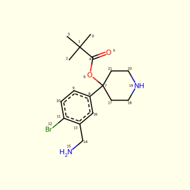 CC(C)(C)C(=O)OC1(c2ccc(Br)c(CN)c2)CCNCC1